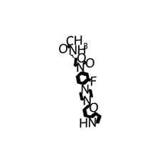 CC(=O)NC[C@H]1CN(c2ccc(N3CCN(C(=O)/C=C\c4ccc[nH]4)CC3)c(F)c2)C(=O)O1